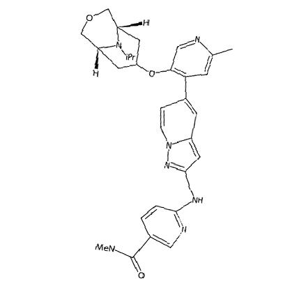 CNC(=O)c1ccc(Nc2cc3cc(-c4cc(C)ncc4OC4C[C@H]5COC[C@@H](C4)N5C(C)C)ccn3n2)nc1